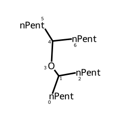 CCCCCC(CCCCC)OC(CCCCC)CCCCC